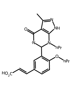 CCCOc1ccc(C=CC(=O)O)cc1C1[N]C(=O)c2c(C)n[nH]c2N1CCC